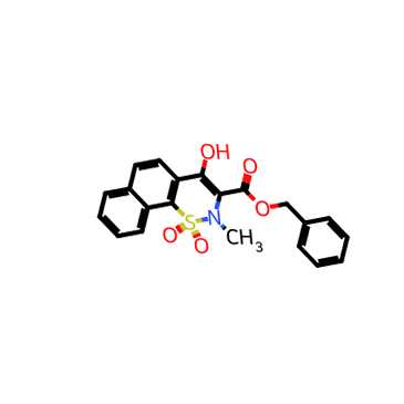 CN1C(C(=O)OCc2ccccc2)=C(O)c2ccc3ccccc3c2S1(=O)=O